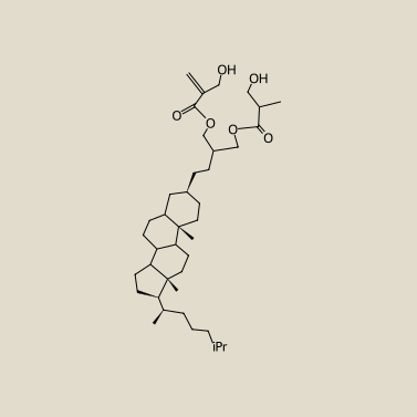 C=C(CO)C(=O)OCC(CC[C@H]1CC[C@@]2(C)C(CCC3C2CC[C@@]2(C)C3CC[C@@H]2[C@H](C)CCCC(C)C)C1)COC(=O)C(C)CO